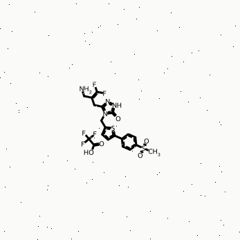 CS(=O)(=O)c1ccc(-c2ccc(Cn3c(CC(CN)=C(F)F)n[nH]c3=O)s2)cc1.O=C(O)C(F)(F)F